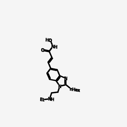 CCCCCCc1nc2cc(C=CC(=O)NO)ccc2n1CCNCC